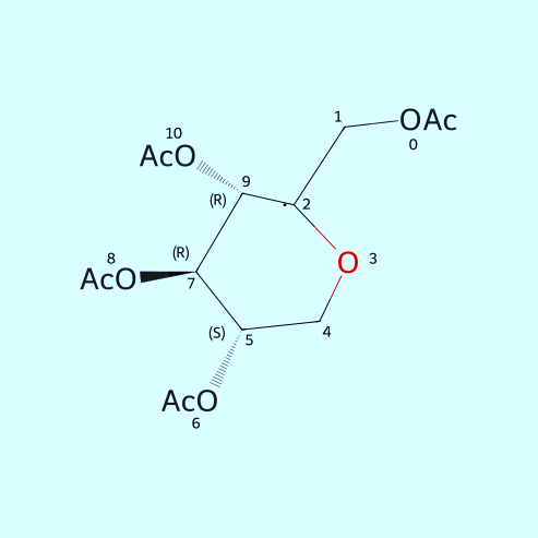 CC(=O)OC[C]1OC[C@H](OC(C)=O)[C@@H](OC(C)=O)[C@@H]1OC(C)=O